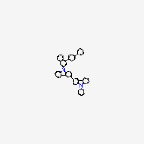 c1ccc(-c2ccc(-c3cc(-n4c5ccccc5c5cc(-c6ccc7c(c6)c6ccccc6n7-c6ccccc6)ccc54)cc4ccccc34)cc2)cc1